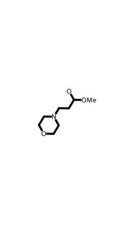 COC([O])CCN1CCOCC1